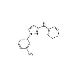 FC(F)(F)c1cccc(-n2ccc(NC3=CCCC=C3)n2)c1